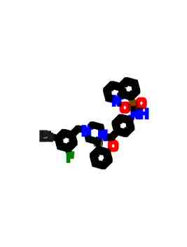 CCc1cc(F)cc(CN2CCN(C(=O)c3ccc(NS(=O)(=O)c4cccc5cccnc45)cc3)[C@@H](c3ccccc3)C2)c1